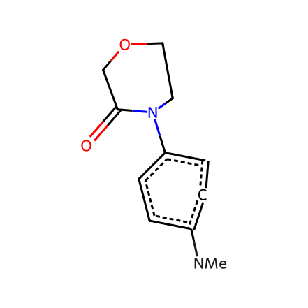 CNc1ccc(N2CCOCC2=O)cc1